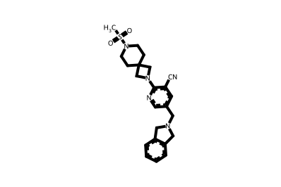 CS(=O)(=O)N1CCC2(CC1)CN(c1ncc(CN3Cc4ccccc4C3)cc1C#N)C2